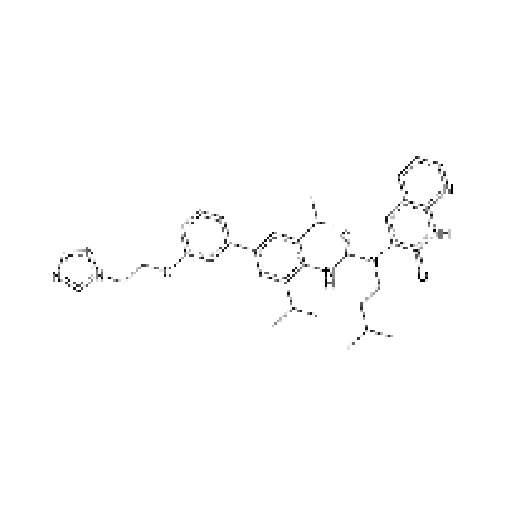 CC(C)CCN(C(=O)Nc1c(C(C)C)cc(-c2cccc(OCCn3cncn3)c2)cc1C(C)C)c1cc2cccnc2[nH]c1=O